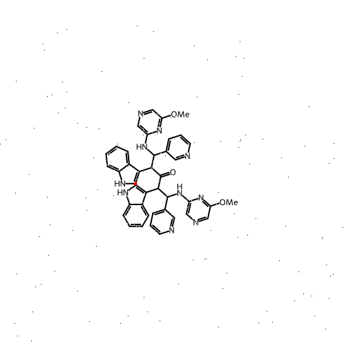 COc1cncc(NC(c2cccnc2)C(C(=O)C(c2c[nH]c3ccccc23)C(Nc2cncc(OC)n2)c2cccnc2)c2c[nH]c3ccccc23)n1